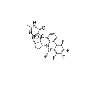 C#CCN(c1c(C(=O)O)cccc1-c1c(F)c(F)c(F)c(F)c1F)[C@H]1CCc2cc3nc(C)[nH]c(=O)c3cc21